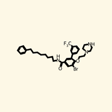 O=C(NCCCCCCCCc1ccccc1)c1cc(Br)c(OCCN2CCNCC2)c(-c2cccc(C(F)(F)F)c2)c1